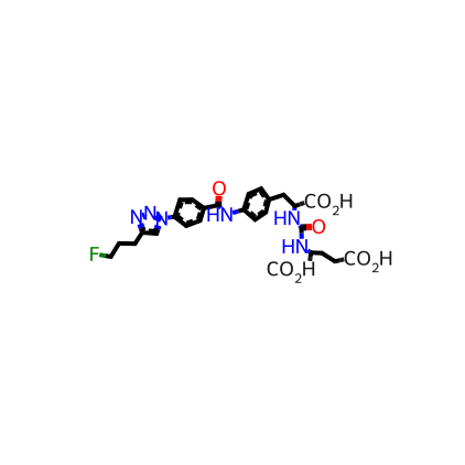 O=C(O)CCC(NC(=O)NC(Cc1ccc(NC(=O)c2ccc(-n3cc(CCCF)nn3)cc2)cc1)C(=O)O)C(=O)O